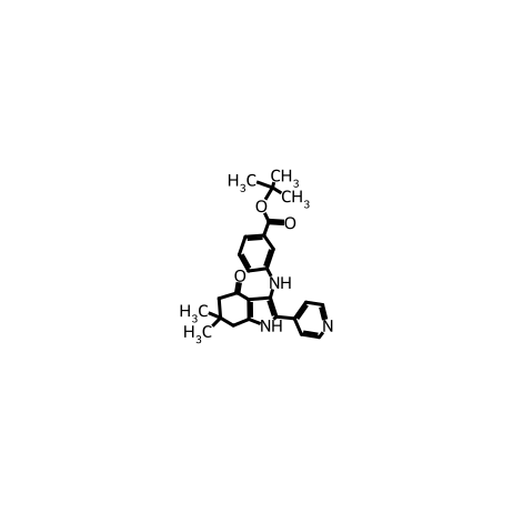 CC1(C)CC(=O)c2c([nH]c(-c3ccncc3)c2Nc2cccc(C(=O)OC(C)(C)C)c2)C1